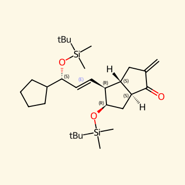 C=C1C[C@H]2[C@H](/C=C/[C@@H](O[Si](C)(C)C(C)(C)C)C3CCCC3)[C@H](O[Si](C)(C)C(C)(C)C)C[C@@H]2C1=O